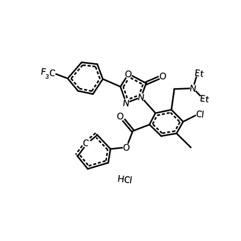 CCN(CC)Cc1c(Cl)c(C)cc(C(=O)Oc2ccccc2)c1-n1nc(-c2ccc(C(F)(F)F)cc2)oc1=O.Cl